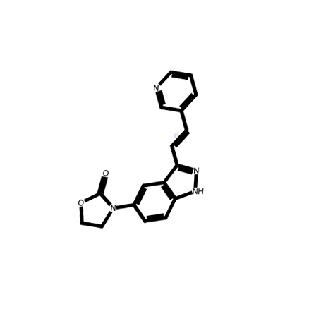 O=C1OCCN1c1ccc2[nH]nc(/C=C/c3cccnc3)c2c1